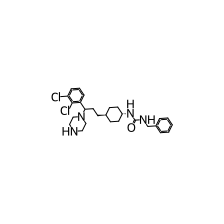 O=C(NCc1ccccc1)N[C@H]1CC[C@H](CCC(c2cccc(Cl)c2Cl)N2CCNCC2)CC1